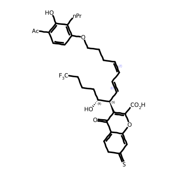 CCCc1c(OCCC/C=C\C=C\[C@@H](c2c(C(=O)O)oc3c(c2=O)=CCC(=S)C=3)[C@H](O)CCCC(F)(F)F)ccc(C(C)=O)c1O